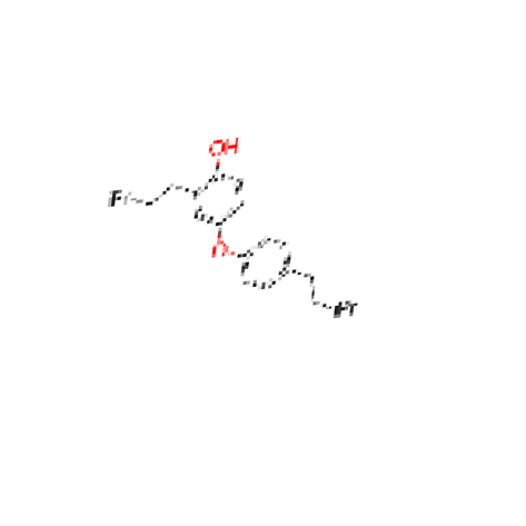 CC(C)CCc1ccc(Oc2ccc(O)c(CCC(C)C)c2)cc1